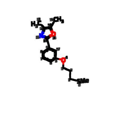 CSCCCOc1cccc(-c2nc(C)c(C)o2)c1